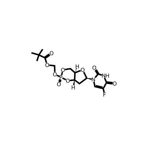 CC(C)(C)C(=O)OCOP1(=O)OC[C@H]2O[C@@H](n3cc(F)c(=O)[nH]c3=O)C[C@@H]2O1